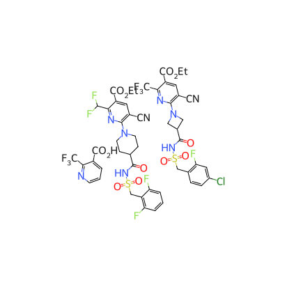 CCOC(=O)c1cc(C#N)c(N2CC(C(=O)NS(=O)(=O)Cc3ccc(Cl)cc3F)C2)nc1C(F)(F)F.CCOC(=O)c1cc(C#N)c(N2CCC(C(=O)NS(=O)(=O)Cc3c(F)cccc3F)CC2)nc1C(F)F.O=C(O)c1cccnc1C(F)(F)F